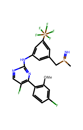 COc1cc(F)ccc1-c1nc(Nc2cc(CS(C)=N)cc(S(F)(F)(F)(F)F)c2)ncc1F